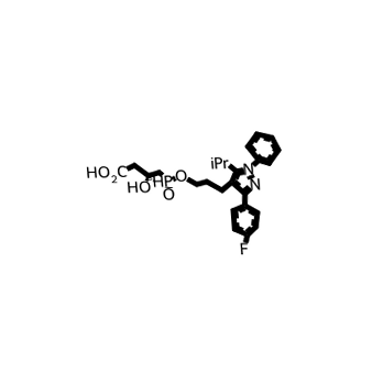 CC(C)c1c(CCCO[PH](=O)C[C@@H](O)CC(=O)O)c(-c2ccc(F)cc2)nn1-c1ccccc1